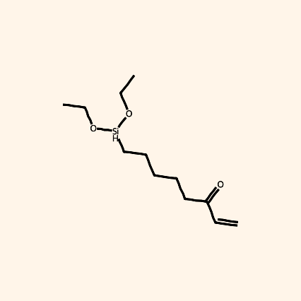 C=CC(=O)CCCCC[SiH](OCC)OCC